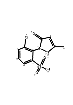 Cc1cc(=O)n(-c2c(Cl)cccc2S(=O)(=O)O)[nH]1